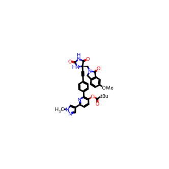 COc1ccc2c(c1)C(=O)N(C[C@@]1(C#Cc3ccc(-c4nc(-c5cnn(C)c5)ccc4OC(=O)C(C)(C)C)cc3)NC(=O)NC1=O)C2